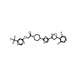 O=C(COc1cc(C(F)(F)F)ncn1)N1CCC(c2nc(C3=NOC(c4c(F)cccc4F)C3)cs2)CC1